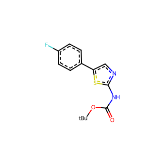 CC(C)(C)OC(=O)Nc1ncc(-c2ccc(F)cc2)s1